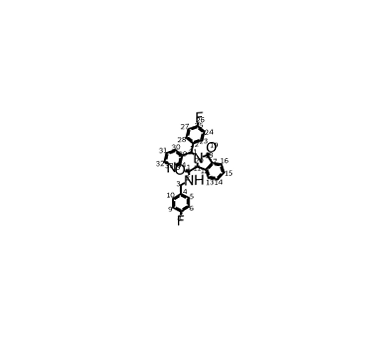 O=C(NCc1ccc(F)cc1)C1c2ccccc2C(=O)N1C(c1ccc(F)cc1)c1cccnc1